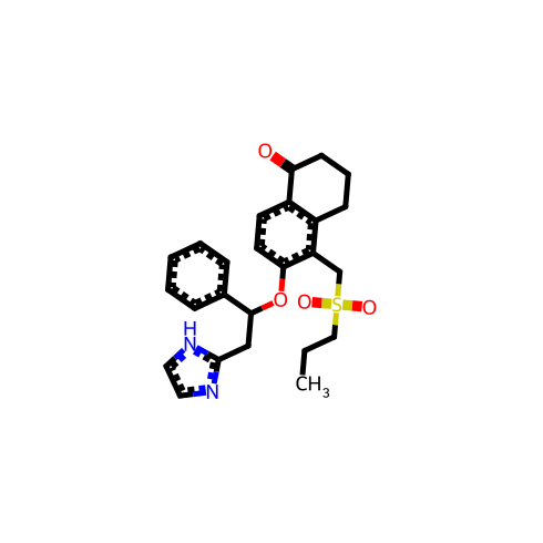 CCCS(=O)(=O)Cc1c(OC(Cc2ncc[nH]2)c2ccccc2)ccc2c1CCCC2=O